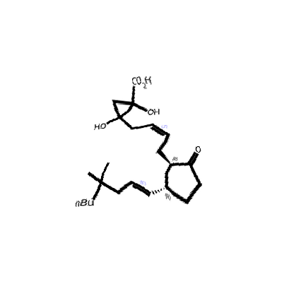 CCCCC(C)(C)C/C=C/[C@H]1CCC(=O)[C@@H]1C/C=C\CC1(O)CC1(O)C(=O)O